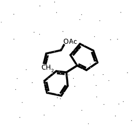 C=CCOC(C)=O.c1ccc(-c2ccccc2)cc1